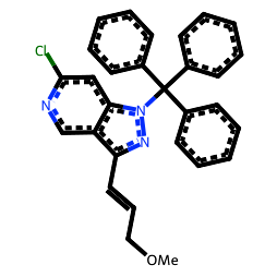 COC/C=C/c1nn(C(c2ccccc2)(c2ccccc2)c2ccccc2)c2cc(Cl)ncc12